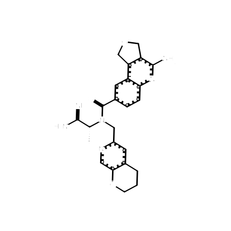 C[C@H](C(=N)N)N(Cc1cc2c(cn1)OCCC2)C(=O)c1ccc2nc(N)c3c(c2c1)COC3